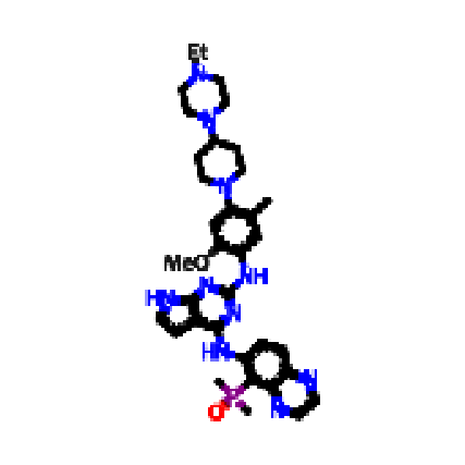 CCN1CCN(C2CCN(c3cc(OC)c(Nc4nc(Nc5ccc6nccnc6c5P(C)(C)=O)c5cc[nH]c5n4)cc3C)CC2)CC1